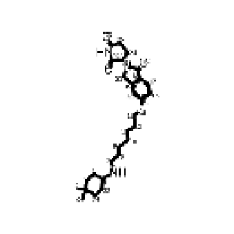 CC1(C)CCC(NCCCCCCCSc2ccc3c(c2)CN(C2CCC(=O)NC2=O)C3=O)CC1